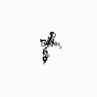 Nc1nc2c(c3nc(-c4ccco4)nn13)n(CC1CC1)c(=O)n2CCN1CCN(c2ccc(F)cc2F)CC1